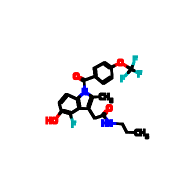 CCCNC(=O)Cc1c(C)n(C(=O)c2ccc(OC(F)(F)F)cc2)c2ccc(O)c(F)c12